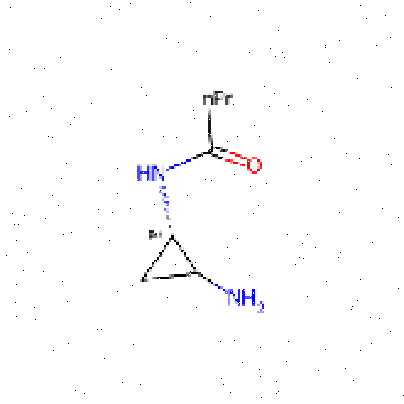 CCCC(=O)N[C@H]1CC1N